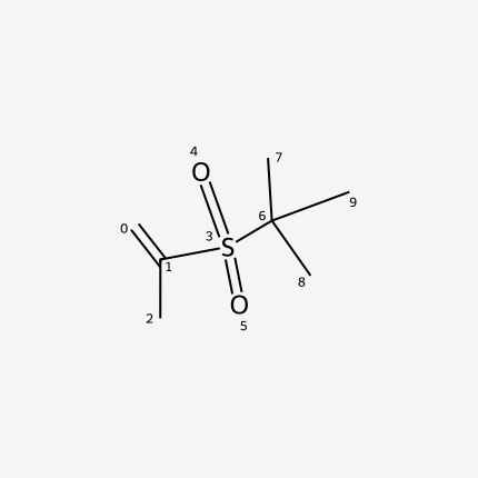 C=C(C)S(=O)(=O)C(C)(C)C